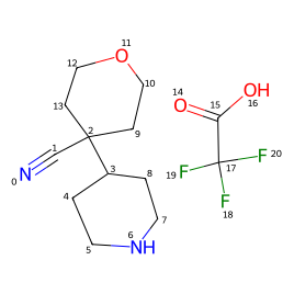 N#CC1(C2CCNCC2)CCOCC1.O=C(O)C(F)(F)F